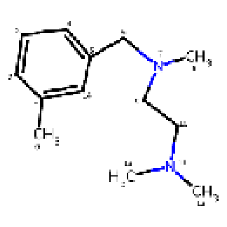 Cc1cccc(CN(C)CCN(C)C)c1